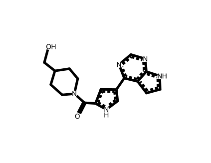 O=C(c1cc(-c2ncnc3[nH]ccc23)c[nH]1)N1CCC(CO)CC1